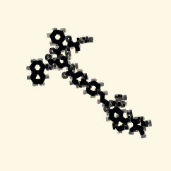 CNC(C)C(=O)NC(C(=O)N1C[C@@H](NC(=O)c2cnc(N3CCN(CCCOc4cc5ncnc(Nc6n[nH]c(C)c6C)c5cc4S(=O)(=O)C(C)(C)C)CC3)nc2)C[C@H]1C(=O)N[C@@H]1CCCc2ccccc21)C1CCCCC1